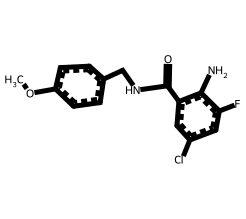 COc1ccc(CNC(=O)c2cc(Cl)cc(F)c2N)cc1